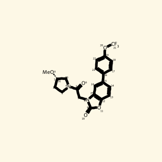 CO[C@H]1CCN(C(=O)Cn2c(=O)oc3ccc(-c4ccc(OC(F)(F)F)cc4)cc32)C1